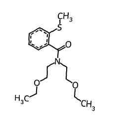 CCOCCN(CCOCC)C(=O)c1ccccc1SC